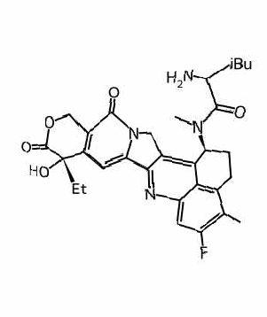 CCC(C)C(N)C(=O)N(C)[C@H]1CCc2c(C)c(F)cc3nc4c(c1c23)Cn1c-4cc2c(c1=O)COC(=O)[C@]2(O)CC